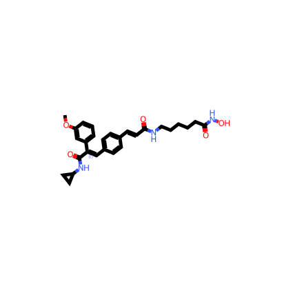 COc1cccc(/C(=C\c2ccc(C=CC(=O)NCCCCCC(=O)NO)cc2)C(=O)NC2CC2)c1